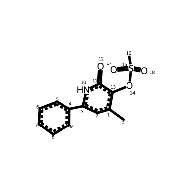 Cc1cc(-c2ccccc2)[nH]c(=O)c1OS(C)(=O)=O